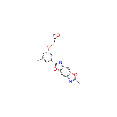 Cc1cc(OCC2CO2)cc(-c2nc3cc4oc(C)nc4cc3o2)c1